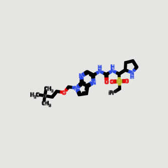 CC(C)CS(=O)(=O)C(NC(=O)Nc1cnc2c(ccn2COCC[Si](C)(C)C)n1)C1CCCN1